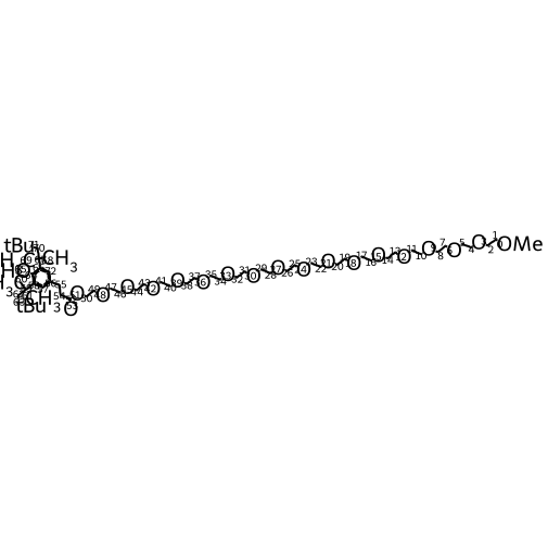 COCCOCCOCCOCCOCCOCCOCCOCCOCCOCCOCCOCCOCCOCCOCCOCCOCCOC(=O)CCc1cc(C(C)(C)CC(C)(C)C)c(O)c(C(C)(C)CC(C)(C)C)c1